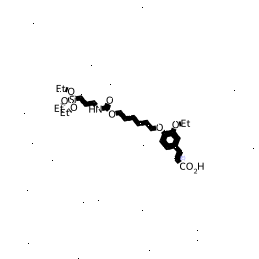 CCOc1cc(/C=C/C(=O)O)ccc1OCCCCCCOC(=O)NCCC[Si](OCC)(OCC)OCC